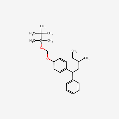 CCC(C)CC(c1ccccc1)c1ccc(OCO[Si](C)(C)C(C)(C)C)cc1